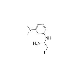 CN(C)c1cccc(NC(N)CF)c1